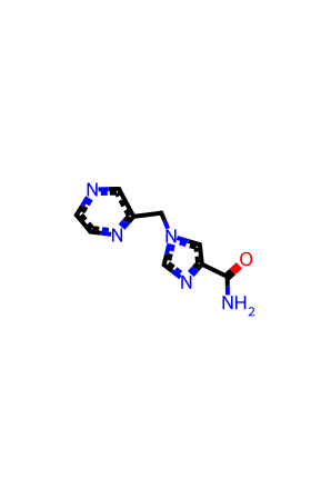 NC(=O)c1cn(Cc2cnccn2)cn1